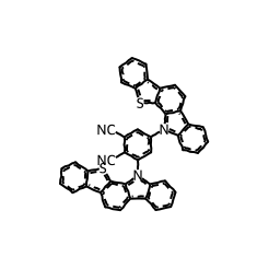 N#Cc1cc(-n2c3ccccc3c3ccc4c5ccccc5sc4c32)cc(-n2c3ccccc3c3ccc4c5ccccc5sc4c32)c1C#N